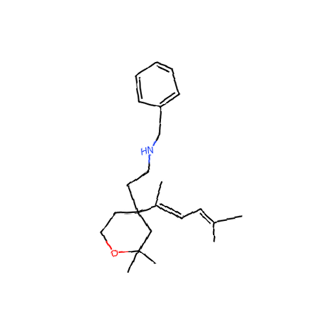 CC(C)=C/C=C(\C)C1(CCNCc2ccccc2)CCOC(C)(C)C1